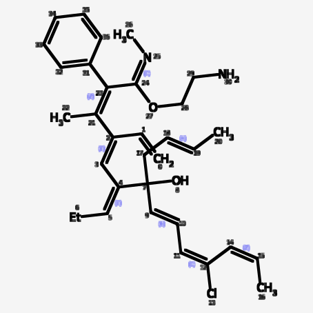 C=CC(=C\C(=C/CC)C(O)(/C=C/C=C(Cl)\C=C/C)C/C=C/C)/C(C)=C(\C(=N/C)OCCN)c1ccccc1